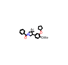 COc1ccc(C2CN(C(=O)c3ccccc3)CC2(C)C(C)=O)cc1OC1CCCC1